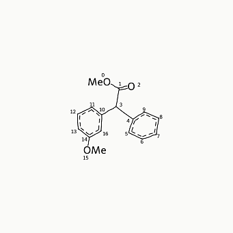 COC(=O)C(c1ccccc1)c1cccc(OC)c1